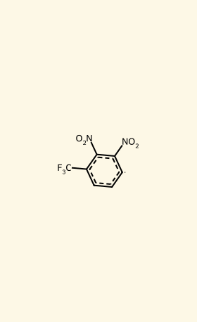 O=[N+]([O-])c1[c]ccc(C(F)(F)F)c1[N+](=O)[O-]